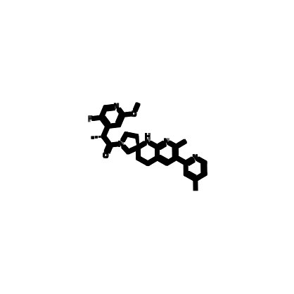 COc1cc([C@@H](C)C(=O)N2CC[C@@]3(CCc4cc(-c5cc(C)ccn5)c(C)nc4N3)C2)c(F)cn1